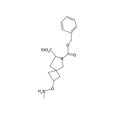 CCOC(=O)C1CC2(CC(O[SiH2]C)C2)CN1C(=O)OCc1ccccc1